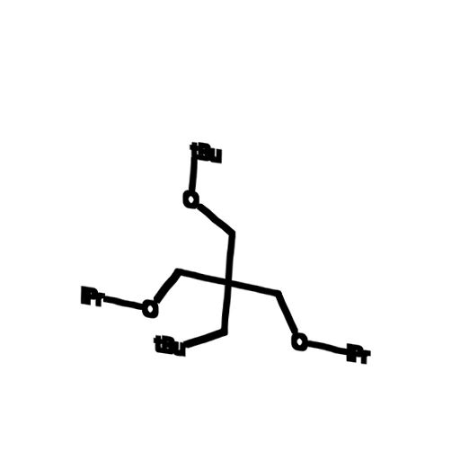 CC(C)OCC(COC(C)C)(COC(C)(C)C)CC(C)(C)C